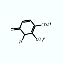 CCC1C(=O)C=CC(C(=O)O)=C1C(=O)O